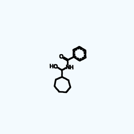 O=C(NC(O)C1CCCCCC1)c1ccccc1